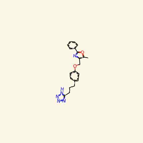 Cc1oc(-c2ccccc2)nc1COc1ccc(CCCc2nnn[nH]2)cc1